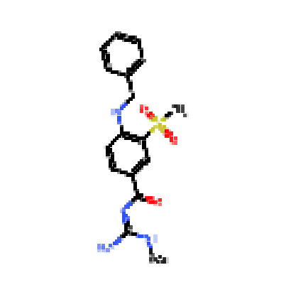 CC(=O)ONC(N)=NC(=O)c1ccc(NCc2ccccc2)c(S(C)(=O)=O)c1